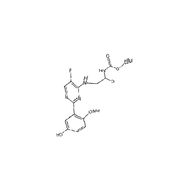 CCC(CNc1nc(-c2cc(O)ccc2OC)ncc1F)NC(=O)OC(C)(C)C